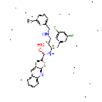 CCc1cccc(CNC[C@@H](O)[C@H](Cc2cc(F)cc(F)c2)NC(=O)c2cc3cc4ccccc4nc3s2)c1